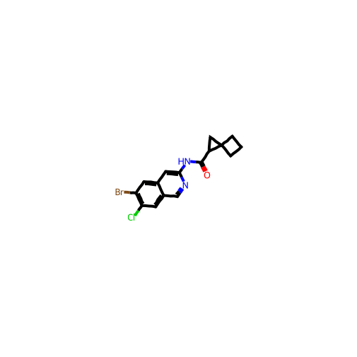 O=C(Nc1cc2cc(Br)c(Cl)cc2cn1)C1CC12CCC2